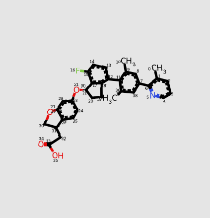 Cc1cccnc1-c1cc(C)c(-c2ccc(F)c3c2CC[C@H]3Oc2ccc3c(c2)OCC3CC(=O)O)c(C)c1